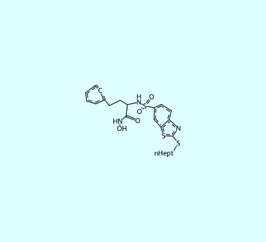 CCCCCCCSc1nc2ccc(S(=O)(=O)NC(CCc3ccccc3)C(=O)NO)cc2s1